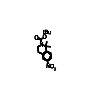 CC(C)(C)OC(=O)N1CCc2cc([N+](=O)[O-])ccc2C1(C)C